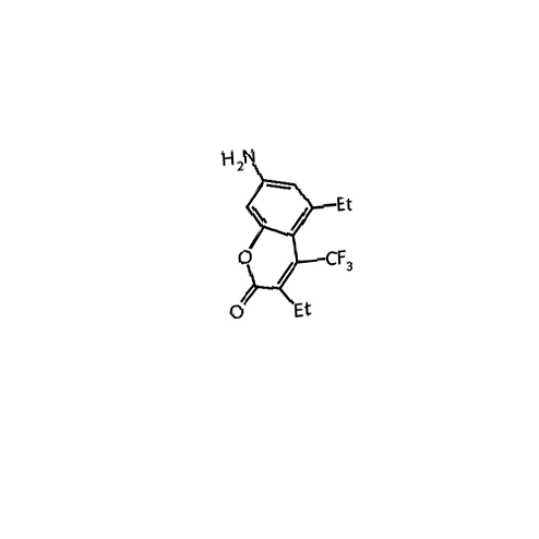 CCc1c(C(F)(F)F)c2c(CC)cc(N)cc2oc1=O